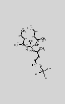 CCCC(C)N[P+](C)(NC(C)CCC)NC(C)CCC.F[B-](F)(F)F